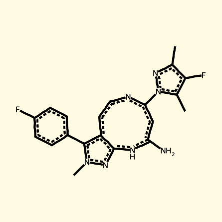 Cc1nn(-c2cc(N)[nH]c3nn(C)c(-c4ccc(F)cc4)c3ccn2)c(C)c1F